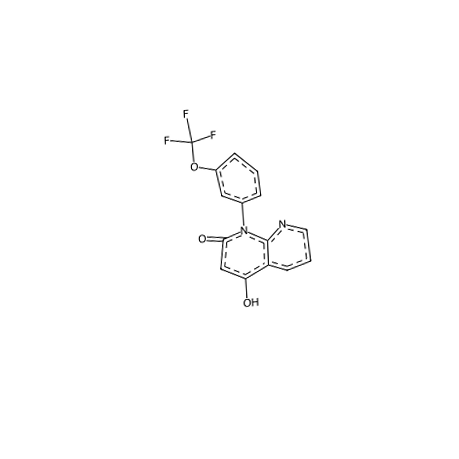 O=c1cc(O)c2cccnc2n1-c1cccc(OC(F)(F)F)c1